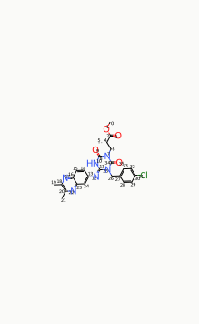 COC(=O)[C@@H](C)Cn1c(=O)[nH]/c(=N\c2ccc3nc(C)c(C)nc3c2)n(Cc2ccc(Cl)cc2)c1=O